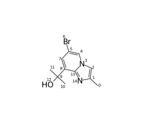 Cc1cn2cc(Br)cc(C(C)(C)O)c2n1